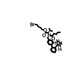 CCCCC(=O)N(Cc1ccc(-c2ccccc2-c2nnn[nH]2)cc1)[C@@H](C(=O)OCCCCBr)C(C)C